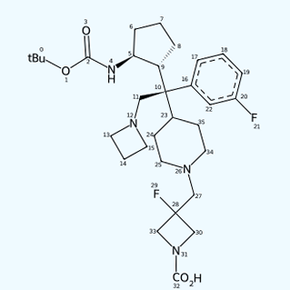 CC(C)(C)OC(=O)N[C@H]1CCC[C@@H]1[C@](CN1CCC1)(c1cccc(F)c1)C1CCN(CC2(F)CN(C(=O)O)C2)CC1